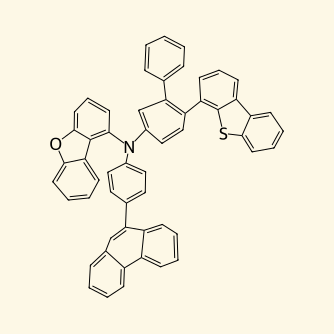 c1ccc(-c2cc(N(c3ccc(-c4cc5ccccc5c5ccccc45)cc3)c3cccc4oc5ccccc5c34)ccc2-c2cccc3c2sc2ccccc23)cc1